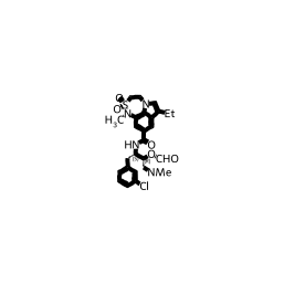 CCc1cn2c3c(cc(C(=O)N[C@@H](Cc4cccc(Cl)c4)[C@@H](CNC)OC=O)cc13)N(C)S(=O)(=O)CC2